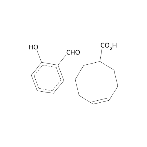 O=C(O)C1CCC=CCCC1.O=Cc1ccccc1O